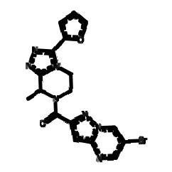 CC1c2nnc(-c3ccco3)n2CCN1C(=O)c1cc2ncc(Br)cn2n1